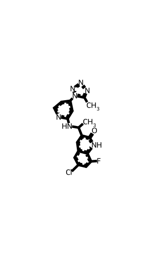 Cc1nnnn1-c1ccnc(NC(C)c2cc3cc(Cl)cc(F)c3[nH]c2=O)c1